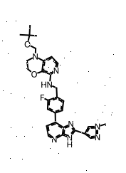 Cn1cc(-c2nc3c(-c4ccc(CNc5nccc6c5OCCN6COC(C)(C)C)c(F)c4)ccnc3[nH]2)cn1